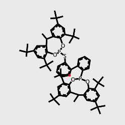 CC1c2cc(C(C)(C)C)cc(C(C)(C)C)c2OP(Sc2ccccc2-c2ccccc2P2Oc3c(cc(C(C)(C)C)cc3C(C)(C)C)C(C)c3cc(C(C)(C)C)cc(C(C)(C)C)c3O2)Oc2c1cc(C(C)(C)C)cc2C(C)(C)C